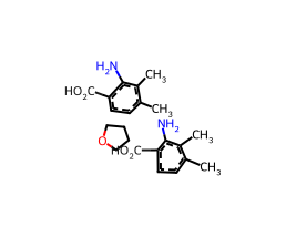 C1CCOC1.Cc1ccc(C(=O)O)c(N)c1C.Cc1ccc(C(=O)O)c(N)c1C